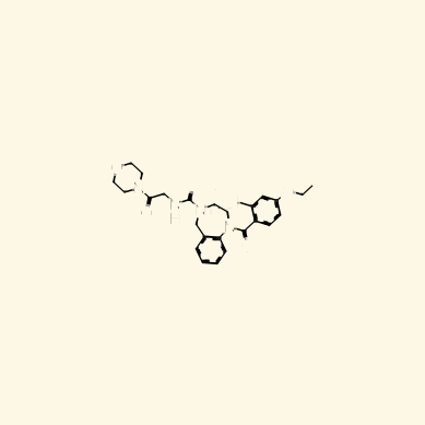 CCOc1ccc(C(=O)N2C[C@@H](C)N(C(=O)NCC(=O)N3CCOCC3)Cc3ccccc32)c(Cl)c1